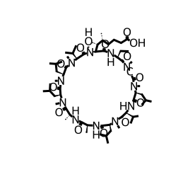 CC[C@@H]1NC(=O)[C@H]([C@H](O)[C@H](C)CCCC(=O)O)N(C)C(=O)[C@H](C(C)C)N(C)C(=O)[C@H](CC(C)C)N(C)C(=O)[C@H](CC(C)C)N(C)C(=O)[C@@H](C)NC(=O)[C@H](C)NC(=O)[C@H](CC(C)C)N(C)C(=O)[C@H](C(C)C)NC(=O)[C@H](CC(C)C)N(C)C(=O)CN(C)C1=O